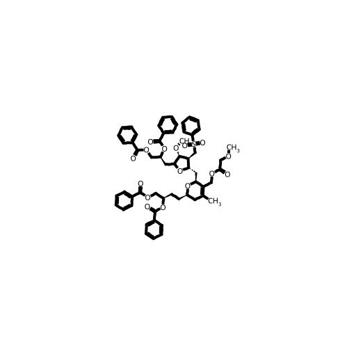 COCC(=O)OCC1=C(C)C[C@@H](CC[C@H](COC(=O)c2ccccc2)OC(=O)c2ccccc2)O[C@H]1C[C@@H]1OC(C[C@@H](COC(=O)c2ccccc2)OC(=O)c2ccccc2)[C@H](OC)[C@H]1CS(=O)(=O)c1ccccc1